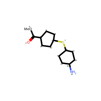 COC(=O)C1CCC(SC2CCC(N)CC2)CC1